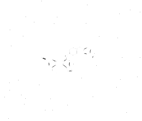 Cc1cc(C#N)cc(C)c1Oc1nc(NC2CCN(Cc3ccc(S(C)(=O)=O)cc3)CC2)nc2scnc12